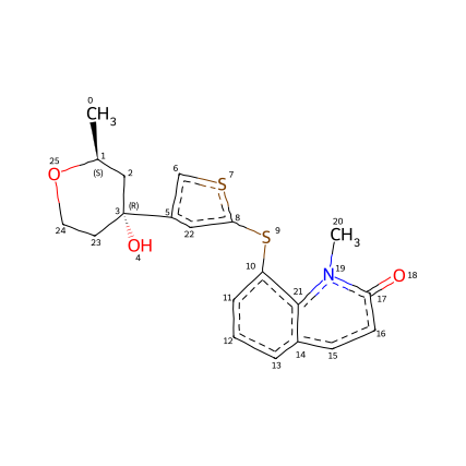 C[C@H]1C[C@@](O)(c2csc(Sc3cccc4ccc(=O)n(C)c34)c2)CCO1